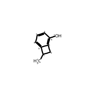 CC1Cc2c(O)cccc21